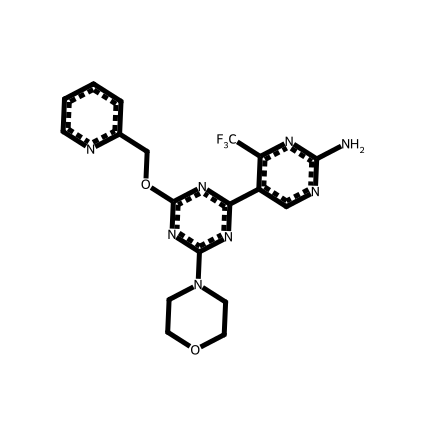 Nc1ncc(-c2nc(OCc3ccccn3)nc(N3CCOCC3)n2)c(C(F)(F)F)n1